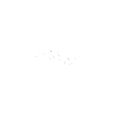 Nn1c(CN2CCCC2CO)cc2cc(-c3cccc(C4=CCCCC4)n3)ccc21